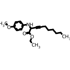 CCCCCCC#CC(Nc1ccc(OC)cc1)C(=O)OCC